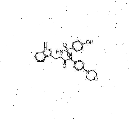 O=C(Nc1ccc(N2CCOCC2)cc1)C(Cc1c[nH]c2ccccc12)NS(=O)(=O)c1ccc(O)cc1